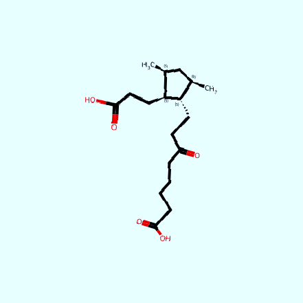 C[C@@H]1C[C@H](C)[C@H](CCC(=O)O)[C@H]1CCC(=O)CCCCC(=O)O